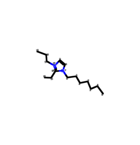 CCCCCCCn1cc[n+](CCC)c1CC